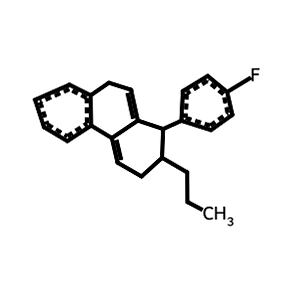 CCCC1CC=C2C(=CCc3ccccc32)C1c1ccc(F)cc1